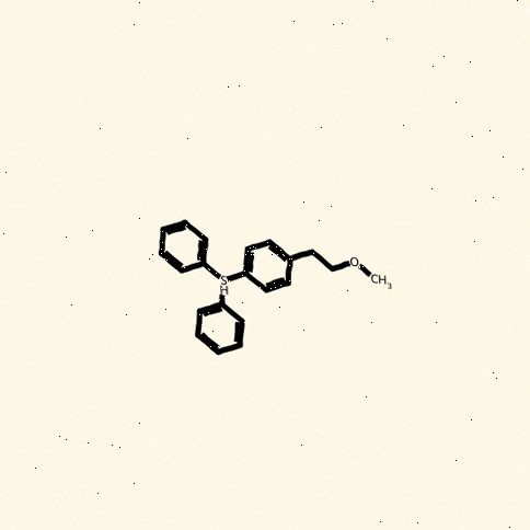 COCCc1ccc([SH](c2ccccc2)c2ccccc2)cc1